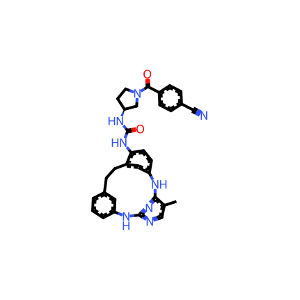 Cc1cnc2nc1Nc1ccc(NC(=O)N[C@H]3CCN(C(=O)c4ccc(C#N)cc4)C3)c(c1)CCc1cccc(c1)N2